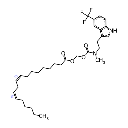 CCCCC/C=C\C/C=C\CCCCCCCC(=O)OCOC(=O)N(C)CCc1c[nH]c2ccc(C(F)(F)F)cc12